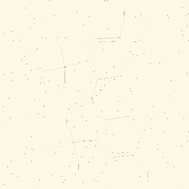 O=C(c1ccc(F)cc1C(F)(F)F)c1ccc(F)cc1C(F)(F)F